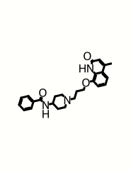 Cc1cc(=O)[nH]c2c(OCCCN3CCC(NC(=O)c4ccccc4)CC3)cccc12